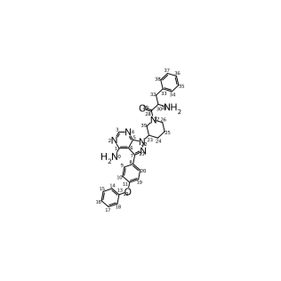 Nc1ncnc2c1c(-c1ccc(Oc3ccccc3)cc1)nn2C1CCCN(C(=O)C(N)Cc2ccccc2)C1